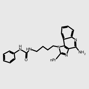 CCCc1nc2c(N)nc3ccccc3c2n1CCCCNC(=O)Nc1ccccc1